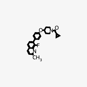 Cc1ccc2ccc(-c3ccc(OC4CCN(C(=O)C5CC5)CC4)cc3)c(F)c2n1